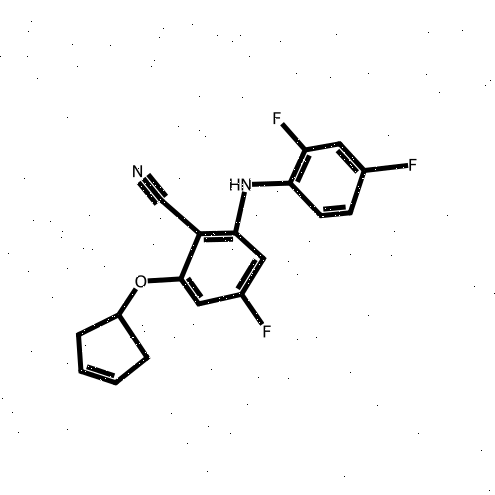 N#Cc1c(Nc2ccc(F)cc2F)cc(F)cc1OC1CC=CC1